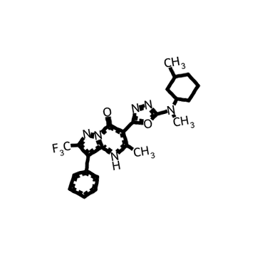 Cc1[nH]c2c(-c3ccccc3)c(C(F)(F)F)nn2c(=O)c1-c1nnc(N(C)C2CCCC(C)C2)o1